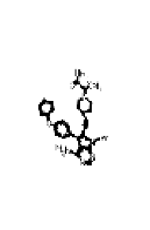 CC(C(N)=O)N1CCC(C#Cc2c(-c3ccc(Oc4ccccc4)cc3)c3c(N)ncnc3n2C(C)C)CC1